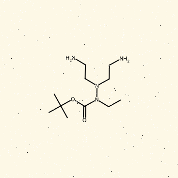 CCN(C(=O)OC(C)(C)C)N(CCN)CCN